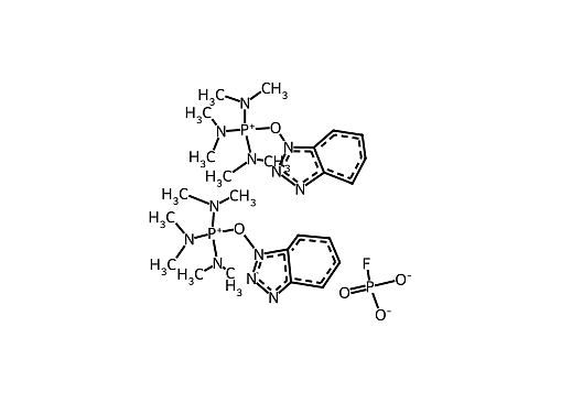 CN(C)[P+](On1nnc2ccccc21)(N(C)C)N(C)C.CN(C)[P+](On1nnc2ccccc21)(N(C)C)N(C)C.O=P([O-])([O-])F